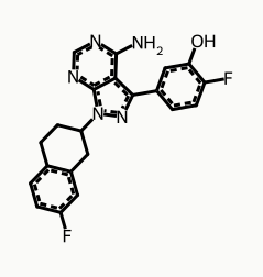 Nc1ncnc2c1c(-c1ccc(F)c(O)c1)nn2C1CCc2ccc(F)cc2C1